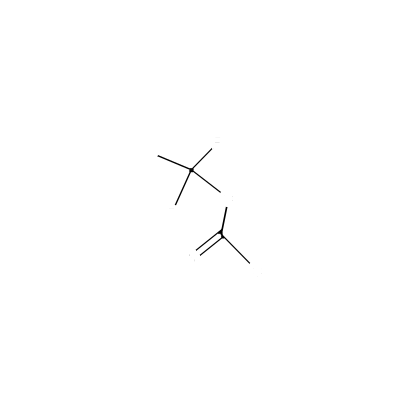 [O]C(=S)OC(F)(F)F